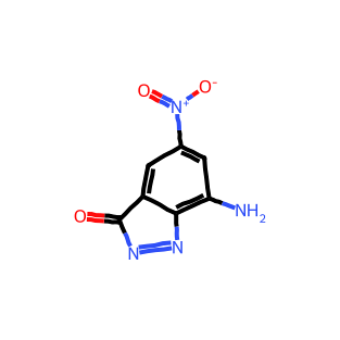 Nc1cc([N+](=O)[O-])cc2c1N=NC2=O